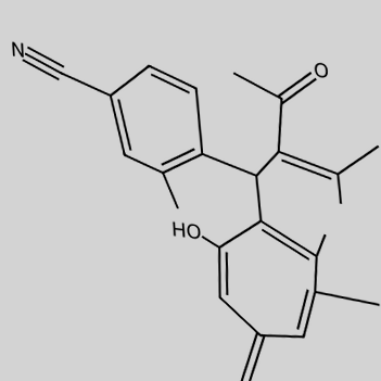 C=C1C=C(C)C(C)=C(C(C(C(C)=O)=C(C)C)c2ccc(C#N)cc2C)C(O)=C1